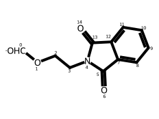 O=[C]OCCN1C(=O)c2ccccc2C1=O